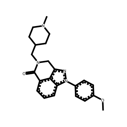 COc1ccc(-n2nc3c4c(cccc42)C(=O)N(CC2CCN(C)CC2)C3)cc1